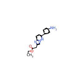 CCOC(=O)Cc1cn2nc(-c3ccc(N)cc3)ccc2n1